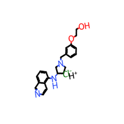 OCCOc1cccc(CN2CC[C@@H](Nc3cccc4cnccc34)C2)c1.[Cl-].[H+]